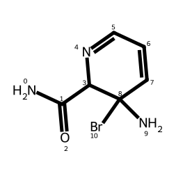 NC(=O)C1N=CC=CC1(N)Br